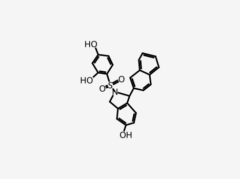 O=S(=O)(c1ccc(O)cc1O)N1Cc2cc(O)ccc2C1c1ccc2ccccc2c1